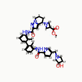 COC(=O)C1CN([C@@H]2CCCn3nc(C(=O)Nc4cccc(-c5cccc(NC(=O)c6ccc(CN7CC[C@@H](O)C7)cn6)c5C)c4C)cc32)C1